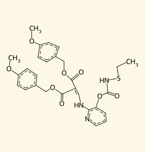 CCSNC(=O)Oc1cccnc1NC=C(C(=O)OCc1ccc(OC)cc1)C(=O)OCc1ccc(OC)cc1